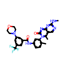 CNc1ncc2c(C)n(-c3cc(NC(=O)c4cc(N5CCOCC5)cc(C(F)(F)F)c4)ccc3C)c(=O)nc2n1